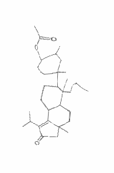 CCCC1(C)C2CCC3(C)CC(=O)C(C(C)C)=C3C2CCC1C1(C)CCC(OC(C)=O)C(C)C1